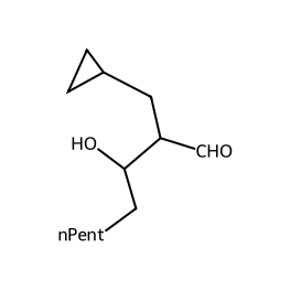 CCCCCCC(O)C(C=O)CC1CC1